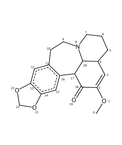 COC1=CC2CCCN3CCc4cc5c(cc4C(C1=O)C23)OCO5